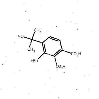 CC(C)(C)c1c(C(C)(C)O)ccc(C(=O)O)c1C(=O)O